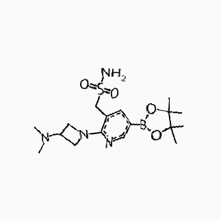 CN(C)C1CN(c2ncc(B3OC(C)(C)C(C)(C)O3)cc2CS(N)(=O)=O)C1